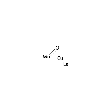 [Cu].[La].[O]=[Mn]